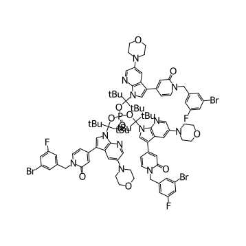 CC(C)(C)C(OP(=O)(OC(n1cc(-c2ccn(Cc3cc(F)cc(Br)c3)c(=O)c2)c2cc(N3CCOCC3)cnc21)(C(C)(C)C)C(C)(C)C)OC(n1cc(-c2ccn(Cc3cc(F)cc(Br)c3)c(=O)c2)c2cc(N3CCOCC3)cnc21)(C(C)(C)C)C(C)(C)C)(n1cc(-c2ccn(Cc3cc(F)cc(Br)c3)c(=O)c2)c2cc(N3CCOCC3)cnc21)C(C)(C)C